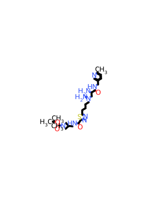 Cc1ccc(CNC(=O)C(N)CN(N)CCCCc2nnc(C(=O)NCC3CN(C(=O)OC(C)(C)C)C3)s2)cn1